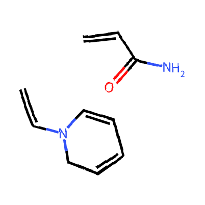 C=CC(N)=O.C=CN1C=CC=CC1